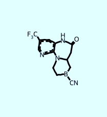 N#CB1CCN2c3ncc(C(F)(F)F)cc3NC(=O)CC2C1